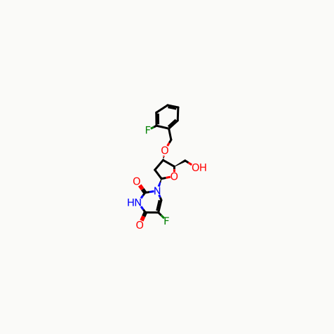 O=c1[nH]c(=O)n([C@H]2C[C@H](OCc3ccccc3F)[C@@H](CO)O2)cc1F